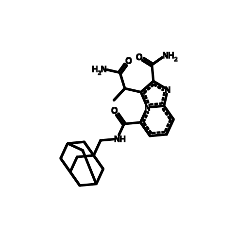 CC(C(N)=O)c1c(C(N)=O)nc2cccc(C(=O)NCC34CC5CC(CC(C5)C3)C4)n12